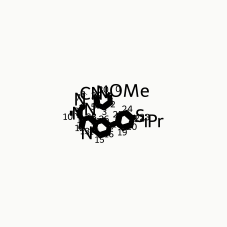 COc1ccc(-n2/c(=N\C#N)n(C)c3cnc4ccc(-c5ccc(SC(C)C)cc5)cc4c32)cn1